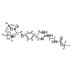 CC(C)(C)OC(=O)NCCNC1=NCC(c2ccc(OCC(O[Si](C)(C)C(C)(C)C)C(=O)OC(C)(C)C)cc2)CN1